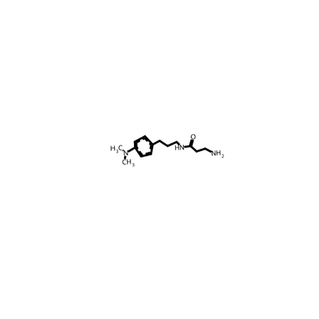 CN(C)c1ccc(CCCNC(=O)CCN)cc1